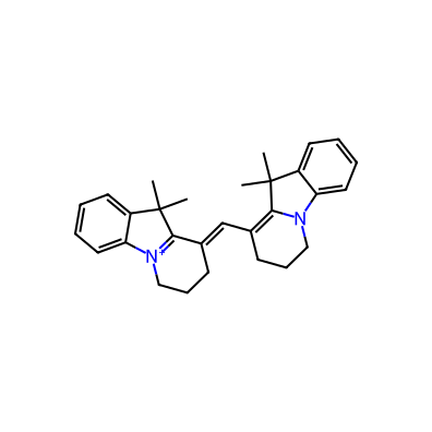 CC1(C)C2=C(C=C3CCC[N+]4=C3C(C)(C)c3ccccc34)CCCN2c2ccccc21